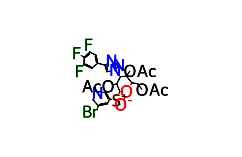 CC(=O)OCC1OC([S+]([O-])c2cncc(Br)c2)C(OC(C)=O)C(n2cc(-c3cc(F)c(F)c(F)c3)nn2)C1OC(C)=O